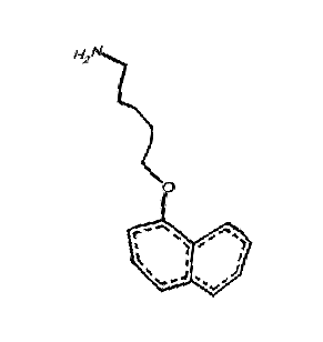 NCCCCOc1cccc2ccccc12